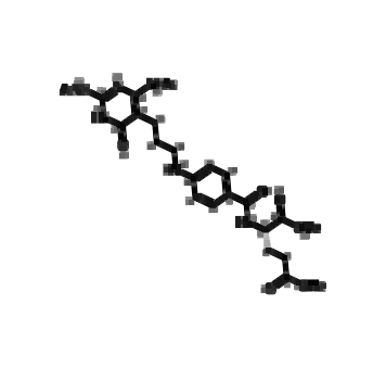 COC(=O)CC[C@H](NC(=O)c1ccc(NCCCc2c(NC(C)=O)nc(NC(C)=O)[nH]c2=O)cc1)C(=O)OC